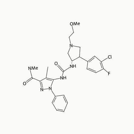 CNC(=O)c1nn(-c2ccccc2)c(NC(=O)N[C@@H]2CN(CCOC)CC2c2ccc(F)c(Cl)c2)c1C